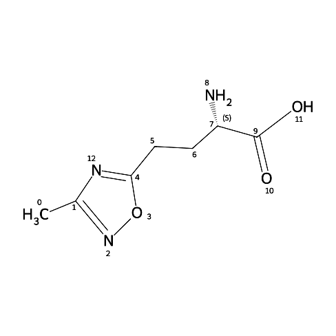 Cc1noc(CC[C@H](N)C(=O)O)n1